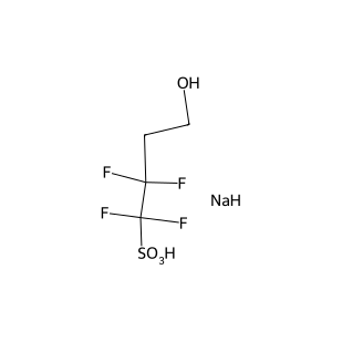 O=S(=O)(O)C(F)(F)C(F)(F)CCO.[NaH]